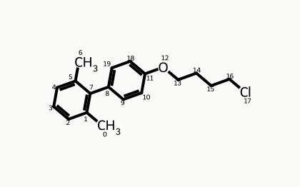 Cc1cccc(C)c1-c1ccc(OCCCCCl)cc1